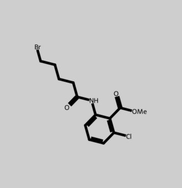 COC(=O)c1c(Cl)cccc1NC(=O)CCCCBr